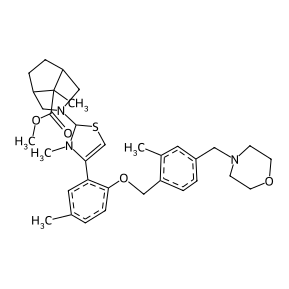 COC(=O)C1(C)C2CCC1CN(C1SC=C(c3cc(C)ccc3OCc3ccc(CN4CCOCC4)cc3C)N1C)C2